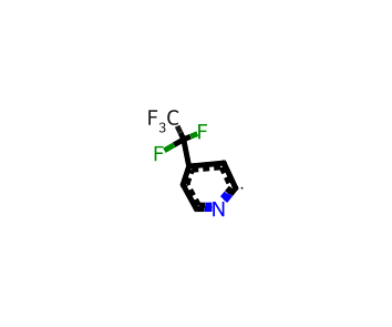 FC(F)(F)C(F)(F)c1c[c]ncc1